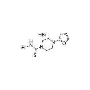 Br.CC(C)NC(=S)N1CCN(c2ccco2)CC1